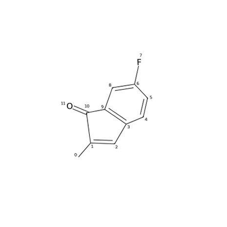 CC1=Cc2ccc(F)cc2C1=O